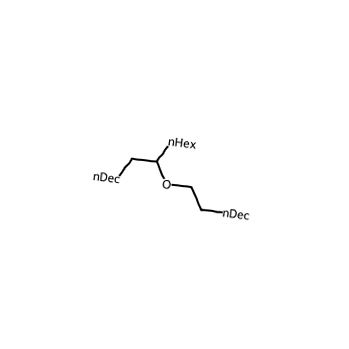 [CH2]CCCCCCCCCCC(CCCCCC)OCCCCCCCCCCCC